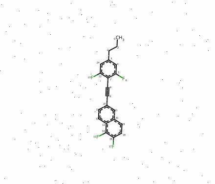 CCCc1cc(F)c(C#Cc2ccc3c(F)c(F)ccc3c2)c(F)c1